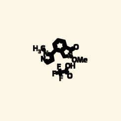 CON1Cc2c(cccc2-c2ccnn2C)C1=O.O=C(O)C(F)(F)F